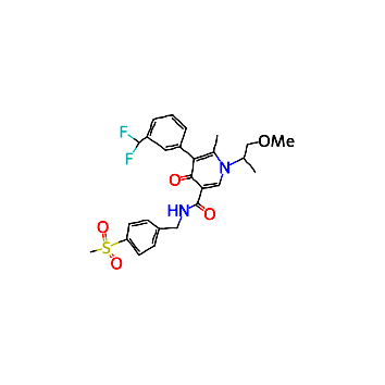 COCC(C)n1cc(C(=O)NCc2ccc(S(C)(=O)=O)cc2)c(=O)c(-c2cccc(C(F)F)c2)c1C